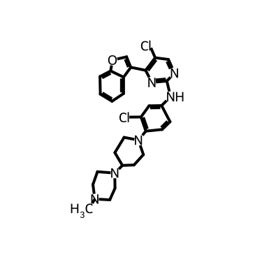 CN1CCN(C2CCN(c3ccc(Nc4ncc(Cl)c(-c5coc6ccccc56)n4)cc3Cl)CC2)CC1